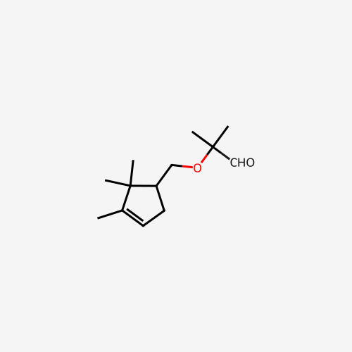 CC1=CCC(COC(C)(C)C=O)C1(C)C